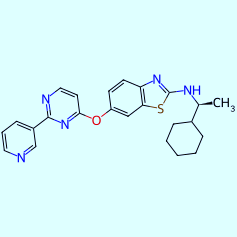 C[C@H](Nc1nc2ccc(Oc3ccnc(-c4cccnc4)n3)cc2s1)C1CCCCC1